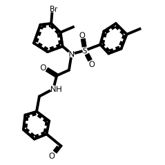 Cc1ccc(S(=O)(=O)N(CC(=O)NCc2cccc(C=O)c2)c2cccc(Br)c2C)cc1